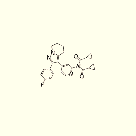 O=C(C1CC1)N(C(=O)C1CC1)c1cc(-c2c(-c3ccc(F)cc3)nn3c2CCCC3)ccn1